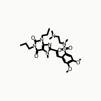 CCCn1c(=O)c2c(nc(/C=C/c3cc(OC)c(OC)cc3S(=O)(=O)N(C)CCN(C)C)n2C)n(CCC)c1=O